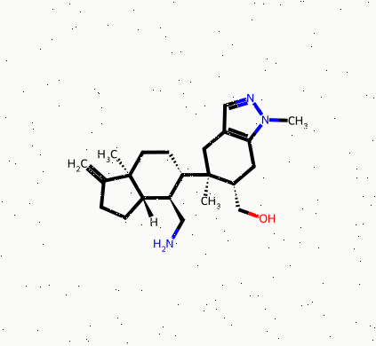 C=C1CC[C@H]2[C@H](CN)[C@@H]([C@@]3(C)Cc4cnn(C)c4C[C@@H]3CO)CC[C@]12C